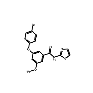 CC(C)Oc1cc(Oc2ccc(Br)cn2)cc(C(=O)Nc2nccs2)c1